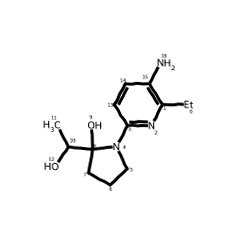 CCc1nc(N2CCCC2(O)C(C)O)ccc1N